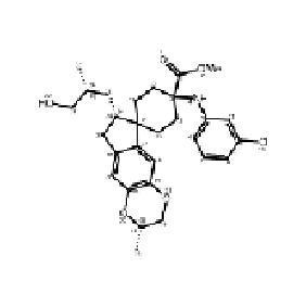 COC(=O)C1(Nc2cccc(Cl)c2)CCC2(CC1)c1cc3c(cc1C[C@@H]2C[C@@H](C)CO)O[C@@H](C)CO3